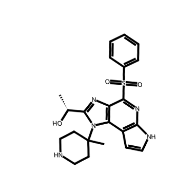 C[C@@H](O)c1nc2c(S(=O)(=O)c3ccccc3)nc3[nH]ccc3c2n1C1(C)CCNCC1